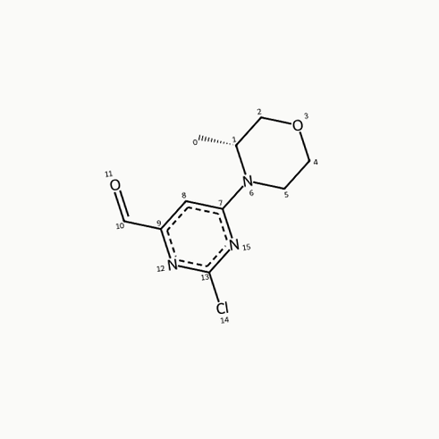 C[C@@H]1COCCN1c1cc(C=O)nc(Cl)n1